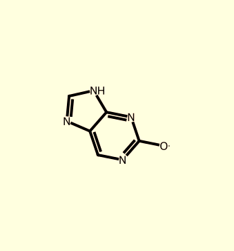 [O]c1ncc2nc[nH]c2n1